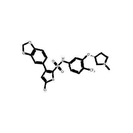 CN1CC[C@@H](Oc2cc(NS(=O)(=O)c3sc(Cl)cc3-c3ccc4c(c3)OCO4)ccc2C(F)(F)F)C1